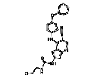 N#Cc1cnn2cc(NC(=O)NCCCl)cc2c1Nc1ccc(Oc2ccccc2)cc1